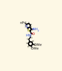 CCCc1ccc2c(N)c(C(=O)NCCc3ccc(OC)c(OC)c3)sc2n1